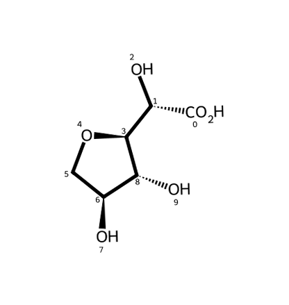 O=C(O)[C@@H](O)[C@@H]1OC[C@H](O)[C@H]1O